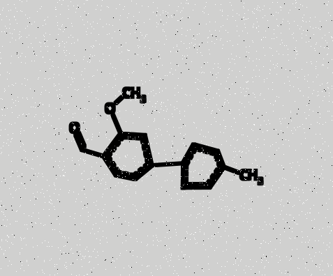 COc1cc(-c2ccc(C)cc2)ccc1C=O